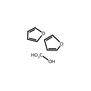 O=C(O)O.c1ccoc1.c1ccoc1